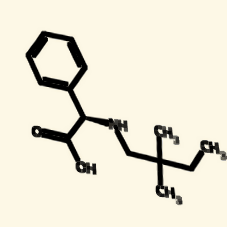 CCC(C)(C)CN[C@@H](C(=O)O)c1ccccc1